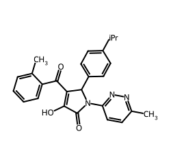 Cc1ccc(N2C(=O)C(O)=C(C(=O)c3ccccc3C)C2c2ccc(C(C)C)cc2)nn1